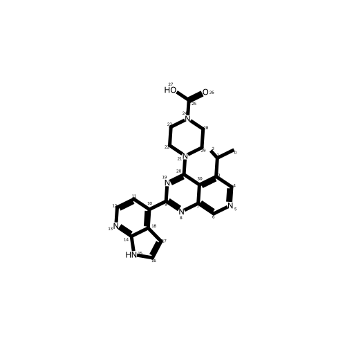 CC(C)c1cncc2nc(-c3ccnc4[nH]ccc34)nc(N3CCN(C(=O)O)CC3)c12